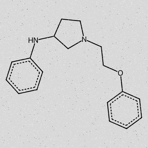 c1ccc(NC2CCN(CCOc3ccccc3)C2)cc1